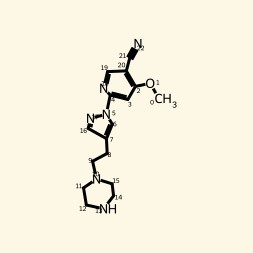 COc1cc(-n2cc(CCN3CCNCC3)cn2)ncc1C#N